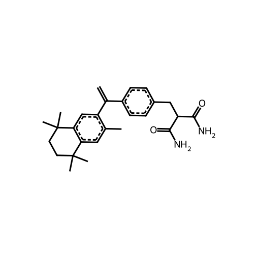 C=C(c1ccc(CC(C(N)=O)C(N)=O)cc1)c1cc2c(cc1C)C(C)(C)CCC2(C)C